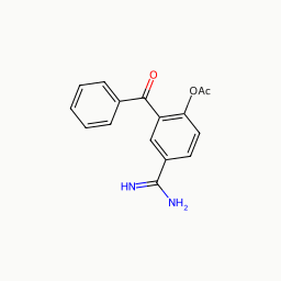 CC(=O)Oc1ccc(C(=N)N)cc1C(=O)c1ccccc1